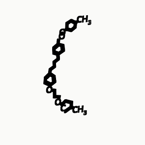 CC1CCC(OCCCOc2ccc(CCCCc3ccc(COOC4CCC(C)CC4)cc3)cc2)CC1